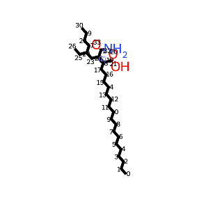 CCCCCCCCCCCCCCCCCC/C(C(=O)O)=C(\CC(CC)CCCC)C(N)=O